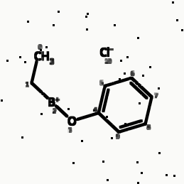 CC[B+]Oc1ccccc1.[Cl-]